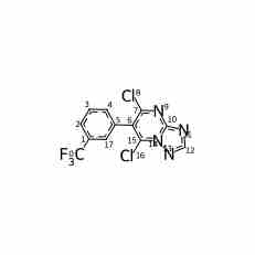 FC(F)(F)c1cccc(-c2c(Cl)nc3ncnn3c2Cl)c1